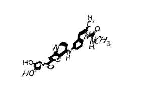 CNC(=O)n1c(C)cc2cc(Nc3ccnc4cc(C(=O)N5C[C@H](O)[C@@H](O)C5)sc34)ccc21